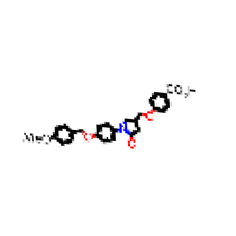 COc1ccc(COc2ccc(N3CC(COc4ccc(C(=O)O)cc4)CC3=O)cc2)cc1